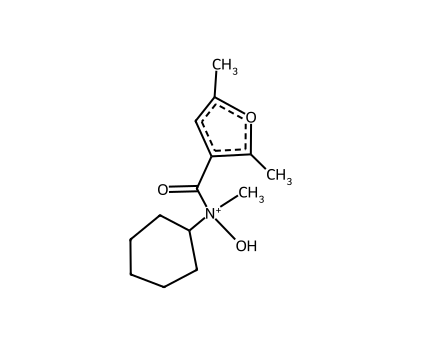 Cc1cc(C(=O)[N+](C)(O)C2CCCCC2)c(C)o1